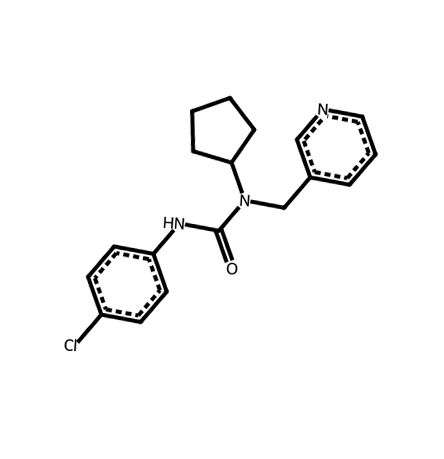 O=C(Nc1ccc(Cl)cc1)N(Cc1cccnc1)C1CCCC1